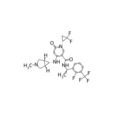 C[C@@H](NC(=O)c1cn([C@@H]2CC2(F)F)c(=O)cc1N[C@@H]1[C@@H]2CN(C)C[C@@H]21)c1cccc(C(F)(F)F)c1F